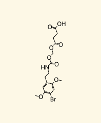 COc1cc(CCNC(=O)OCOC(=O)CCC(=O)O)c(OC)cc1Br